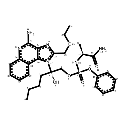 CCCC[C@](O)(COP(=O)(N[C@@H](C)C(N)=O)Oc1ccccc1)n1c(COCC)nc2c(N)nc3ccccc3c21